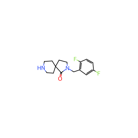 O=C1N(Cc2cc(F)ccc2F)CCC12CCNCC2